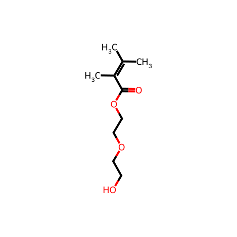 CC(C)=C(C)C(=O)OCCOCCO